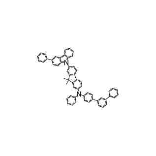 CC1(C)c2cc(N(c3ccccc3)c3ccc(-c4cccc(-c5ccccc5)c4)cc3)ccc2-c2ccc(-n3c4ccccc4c4cc(-c5ccccc5)ccc43)cc21